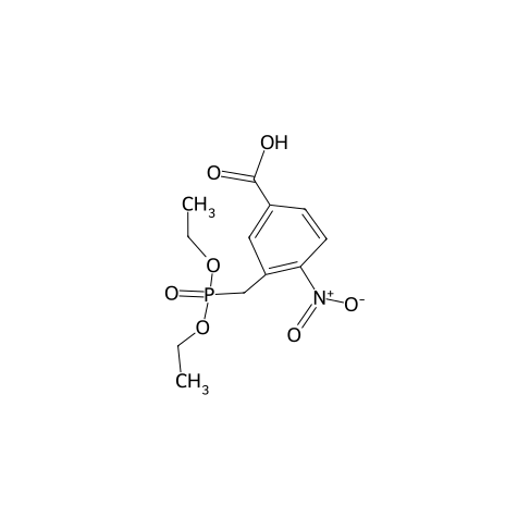 CCOP(=O)(Cc1cc(C(=O)O)ccc1[N+](=O)[O-])OCC